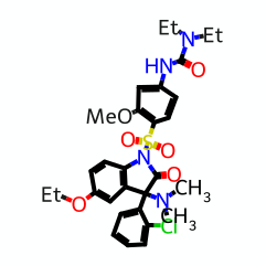 CCOc1ccc2c(c1)C(c1ccccc1Cl)(N(C)C)C(=O)N2S(=O)(=O)c1ccc(NC(=O)N(CC)CC)cc1OC